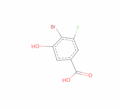 O=C(O)c1cc(O)c(Br)c(F)c1